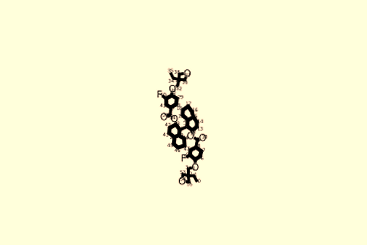 CCC1(COc2ccc(C(=O)Oc3ccc4ccccc4c3-c3c(OC(=O)c4ccc(OCC5(CC)COC5)c(F)c4)ccc4ccccc34)cc2F)COC1